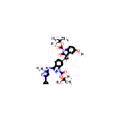 COc1ccc2c(c1)[C@]1(C[C@H]1c1ccc3c(Nc4cc(C5CC5)nn4C)nn(C(=O)OC(C)(C)C)c3c1)C(=O)N2C(=O)OC(C)(C)C